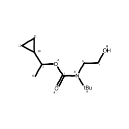 CC(OC(=O)N(CCO)C(C)(C)C)C1CC1